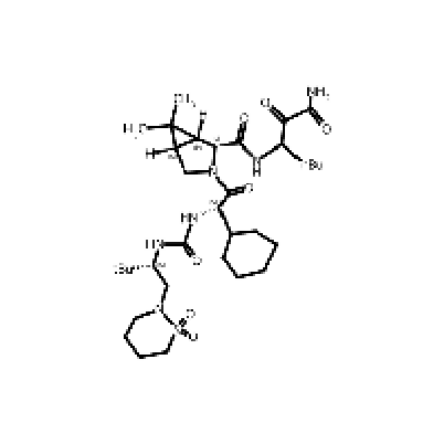 CCCCC(NC(=O)[C@@H]1[C@@H]2[C@H](CN1C(=O)[C@@H](NC(=O)N[C@H](CN1CCCCS1(=O)=O)C(C)(C)C)C1CCCCC1)C2(C)C)C(=O)C(N)=O